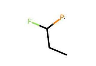 CCC(F)[P]